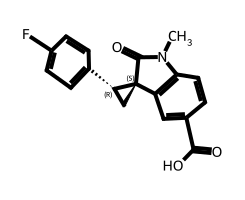 CN1C(=O)[C@]2(C[C@@H]2c2ccc(F)cc2)c2cc(C(=O)O)ccc21